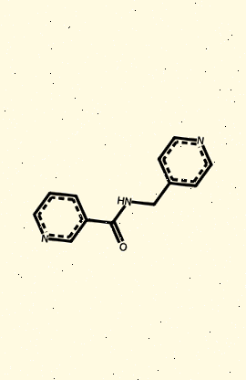 O=C(NCc1ccncc1)c1cccnc1